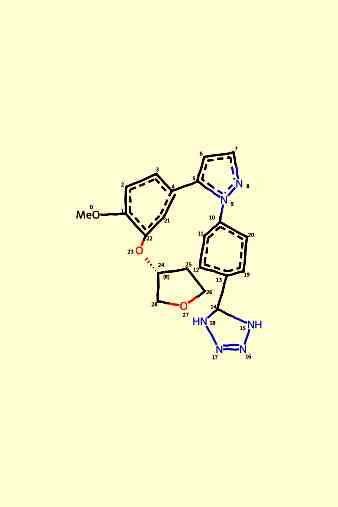 COc1ccc(-c2ccnn2-c2ccc(C3NN=NN3)cc2)cc1O[C@@H]1CCOC1